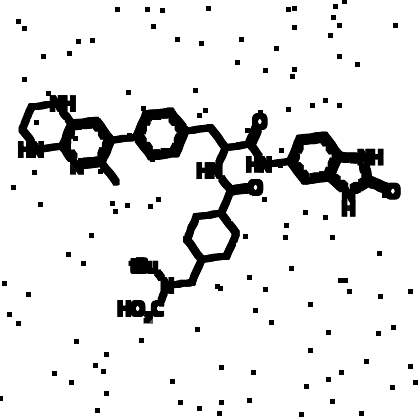 Cc1nc2c(cc1-c1ccc(CC(NC(=O)C3CCC(CN(C(=O)O)C(C)(C)C)CC3)C(=O)Nc3ccc4[nH]c(=O)[nH]c4c3)cc1)NCCN2